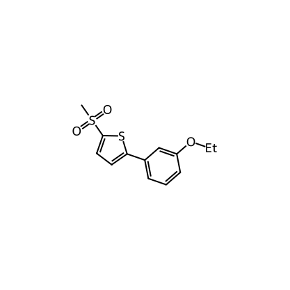 CCOc1cccc(-c2ccc(S(C)(=O)=O)s2)c1